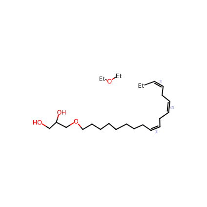 CC/C=C\C/C=C\C/C=C\CCCCCCCCOCC(O)CO.CCOCC